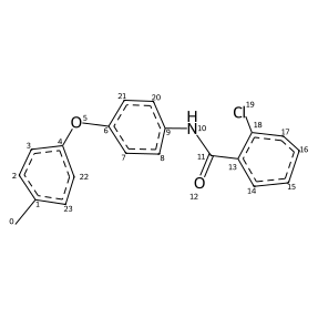 Cc1ccc(Oc2ccc(NC(=O)c3ccccc3Cl)cc2)cc1